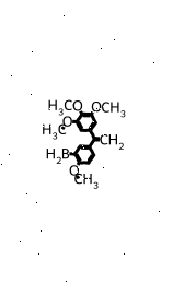 Bc1cc(C(=C)c2cc(OC)c(OC)c(OC)c2)ccc1OC